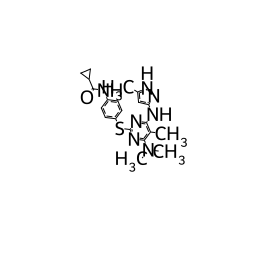 Cc1cc(Nc2nc(Sc3ccc(NC(=O)C4CC4)cc3)nc(N(C)C)c2C)n[nH]1